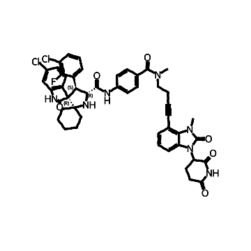 CN(CCC#Cc1cccc2c1n(C)c(=O)n2C1CCC(=O)NC1=O)C(=O)c1ccc(NC(=O)[C@@H]2NC3(CCCCC3)[C@@]3(C(=O)Nc4cc(Cl)ccc43)[C@H]2c2cccc(Cl)c2F)cc1